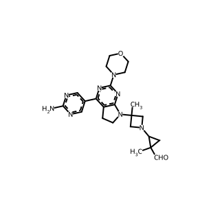 CC1(C=O)CC1N1CC(C)(N2CCc3c(-c4cnc(N)nc4)nc(N4CCOCC4)nc32)C1